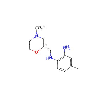 Cc1ccc(NC[C@H]2CN(C(=O)O)CCO2)c(N)c1